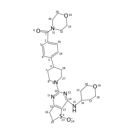 O=C(c1ccc(C2CCN(c3nc4c(c(NC5CCOCC5)n3)[S+]([O-])CC4)CC2)cc1)N1CCOCC1